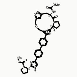 COC(=O)N[C@H]1Cc2cc(on2)COCc2[nH]c(nc2-c2ccc(-c3ccc(-c4c[nH]c([C@@H]5CCCN5C(=O)OC(C)(C)C)n4)cc3)cc2)[C@@H]2CCCN2C1=O